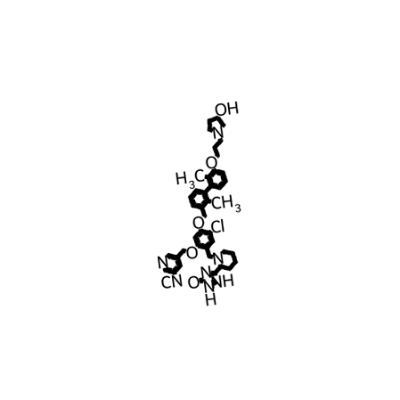 Cc1c(COc2cc(OCc3cncc(C#N)c3)c(CN3CCCCC3c3nc(=O)[nH][nH]3)cc2Cl)cccc1-c1cccc(OCCCN2CCC(O)C2)c1C